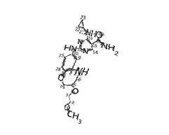 COCCOC1CNc2cc(Nc3ncc(C(N)=O)c(NC4CC4)n3)ccc2OC1